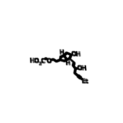 CCC#CCC(O)C=C[C@H]1[C@@H]2CC(CCOCC(=O)O)C[C@H]2C[C@@H]1O